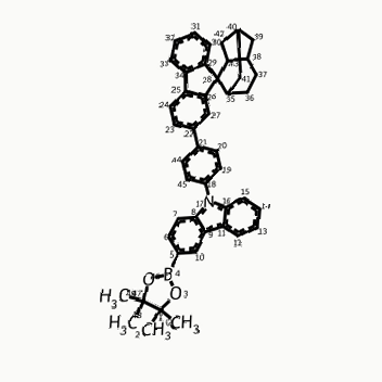 CC1(C)OB(c2ccc3c(c2)c2ccccc2n3-c2ccc(-c3ccc4c(c3)C3(c5ccccc5-4)C4CCC5CC(C4)CC53)cc2)OC1(C)C